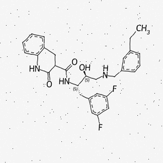 CCc1cccc(CNC[C@H](O)[C@H](Cc2cc(F)cc(F)c2)NC(=O)C2Cc3ccccc3NC2=O)c1